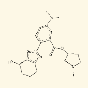 CN1CCC(OC(=O)c2cc(N(C)C)ccc2-c2nc3c(s2)C(O)CCC3)C1